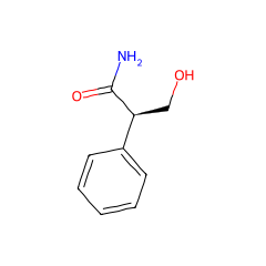 NC(=O)[C@@H](CO)c1ccccc1